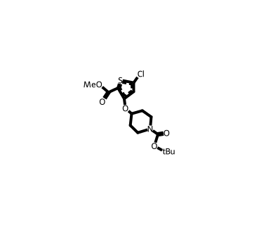 COC(=O)c1sc(Cl)cc1OC1CCN(C(=O)OC(C)(C)C)CC1